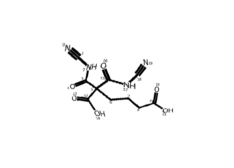 N#CNC(=O)C(CCCC(=O)O)(C(=O)O)C(=O)NC#N